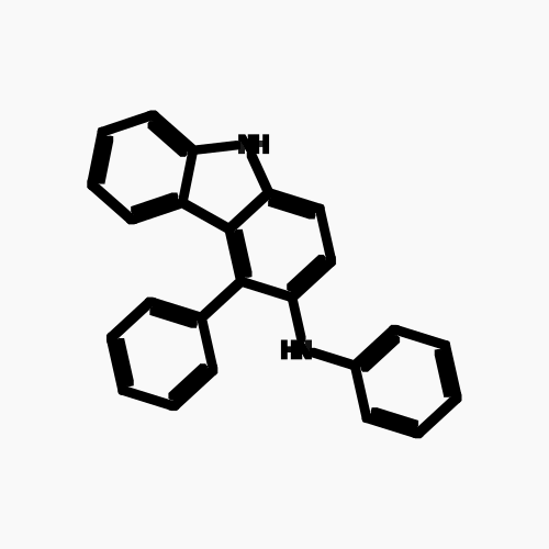 c1ccc(Nc2ccc3[nH]c4ccccc4c3c2-c2ccccc2)cc1